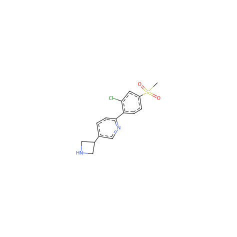 CS(=O)(=O)c1ccc(-c2ccc(C3CNC3)cn2)c(Cl)c1